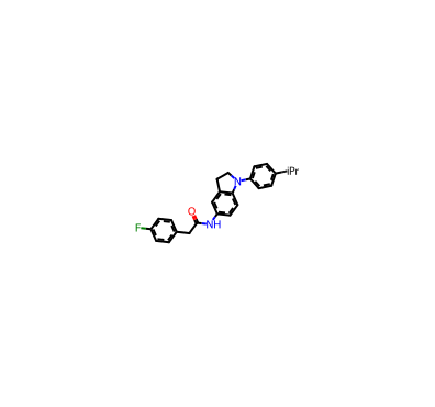 CC(C)c1ccc(N2CCc3cc(NC(=O)Cc4ccc(F)cc4)ccc32)cc1